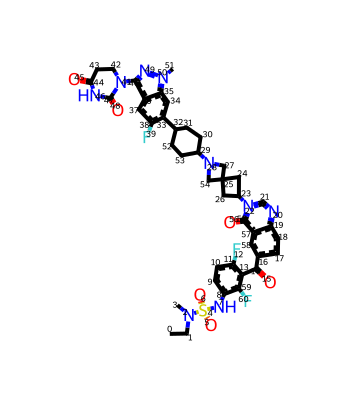 CCN(C)S(=O)(=O)Nc1ccc(F)c(C(=O)c2ccc3ncn(C4CC5(C4)CN(C4CCC(c6cc7c(cc6F)c(N6CCC(=O)NC6=O)nn7C)CC4)C5)c(=O)c3c2)c1F